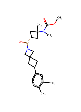 COC(=O)N(C)[C@]1(C)C[C@H]([S+]([O-])N2CC3(CC(c4ccc(C)c(C)c4)C3)C2)C1